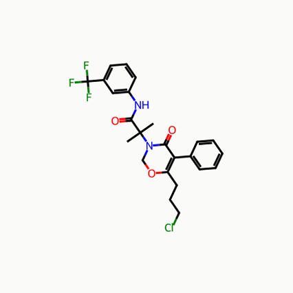 CC(C)(C(=O)Nc1cccc(C(F)(F)F)c1)N1COC(CCCCl)=C(c2ccccc2)C1=O